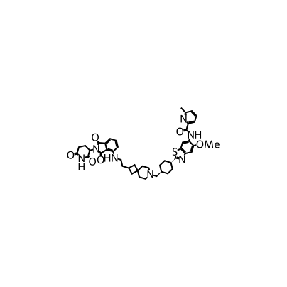 COc1cc2nc([C@H]3CC[C@H](CN4CCC5(CC4)CC(CCNc4cccc6c4C(=O)N(C4CCC(=O)NC4=O)C6=O)C5)CC3)sc2cc1NC(=O)c1cccc(C)n1